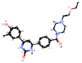 CCOCCN1CCN(C(=O)c2ccc(-c3cc(-c4ccc(O)c(C)c4)nc(=O)[nH]3)cc2)CC1